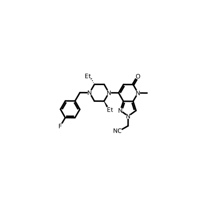 CC[C@@H]1CN(c2cc(=O)n(C)c3cn(CC#N)nc23)[C@@H](CC)CN1Cc1ccc(F)cc1